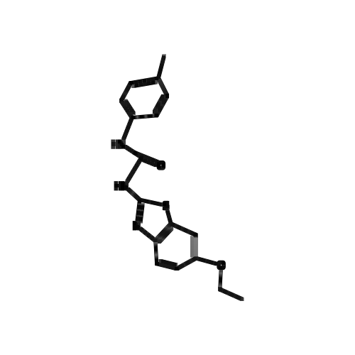 CCOc1ccc2nc(NC(=O)Nc3ccc(C)cc3)sc2c1